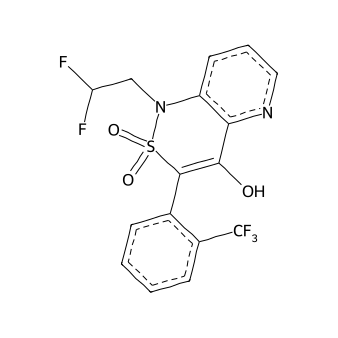 O=S1(=O)C(c2ccccc2C(F)(F)F)=C(O)c2ncccc2N1CC(F)F